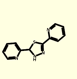 c1ccc(C2=NNC(c3ccccn3)S2)nc1